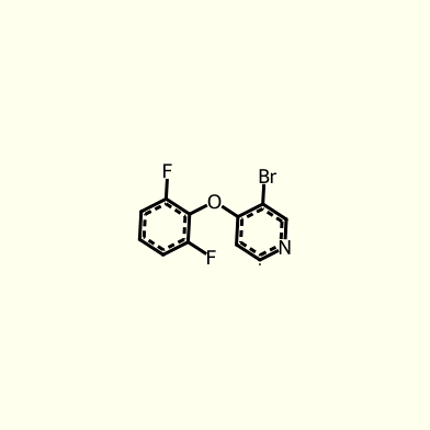 Fc1cccc(F)c1Oc1c[c]ncc1Br